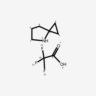 C1CNC2(C1)CC2.O=C(O)C(F)(F)F